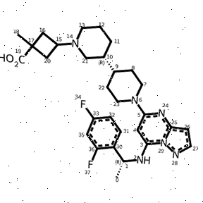 C[C@@H](Nc1cc(N2CCC([C@H]3CCCN(C4CC(C)(C(=O)O)C4)C3)CC2)nc2ccnn12)c1ccc(F)cc1F